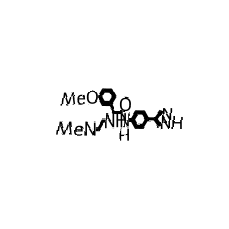 CNCCN[C@H](C(=O)Nc1ccc(-c2cn[nH]c2)cc1)c1cccc(OC)c1